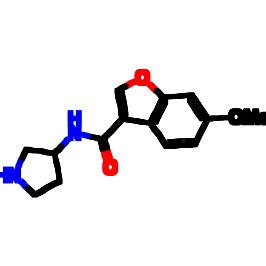 COc1ccc2c(C(=O)NC3CCNC3)coc2c1